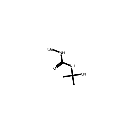 CC(C)(C)NC(=O)NC(C)(C)C#N